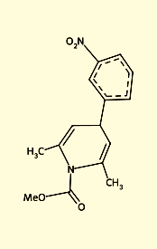 COC(=O)N1C(C)=CC(c2cccc([N+](=O)[O-])c2)C=C1C